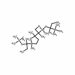 CCC(C)(O[Si@@]1(C)OCC1(C)C1(C)CC[Si](C)(C(C)(CC)O[Si](C)(C)C)O1)[Si](C)(C)C